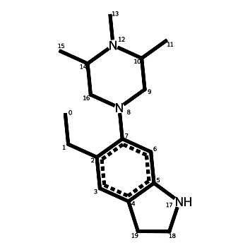 CCc1cc2c(cc1N1CC(C)N(C)C(C)C1)NCC2